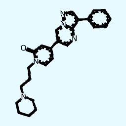 O=c1cc(-c2cnc3c(-c4ccccc4)cnn3c2)ccn1CCCN1CCCCC1